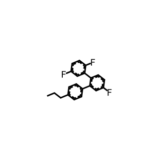 CCCc1ccc(-c2cc(F)ccc2-c2cc(F)ccc2F)cc1